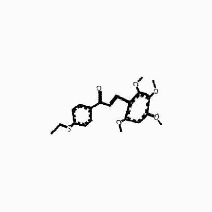 CCSc1ccc(C(=O)/C=C/c2c(OC)cc(OC)c(OC)c2OC)cc1